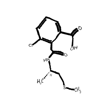 CSC[C@H](C)NC(=O)c1c(Cl)cccc1C(=O)O